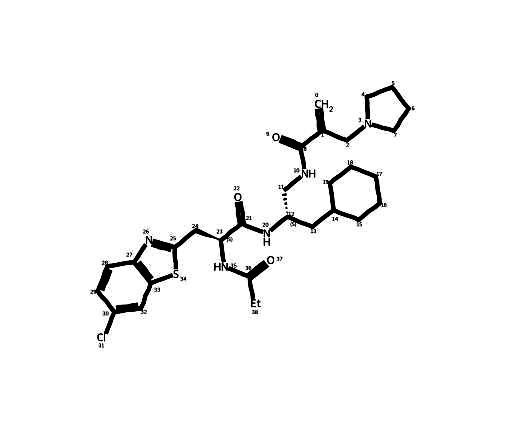 C=C(CN1CCCC1)C(=O)NC[C@H](CC1CCCCC1)NC(=O)[C@H](Cc1nc2ccc(Cl)cc2s1)NC(=O)CC